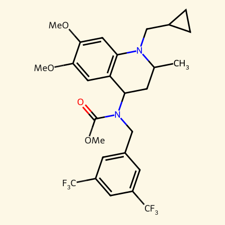 COC(=O)N(Cc1cc(C(F)(F)F)cc(C(F)(F)F)c1)C1CC(C)N(CC2CC2)c2cc(OC)c(OC)cc21